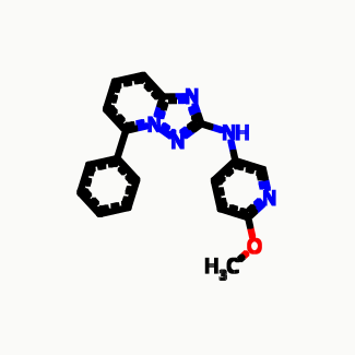 COc1ccc(Nc2nc3cccc(-c4ccccc4)n3n2)cn1